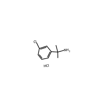 CC(C)(N)c1cccc(Cl)c1.Cl